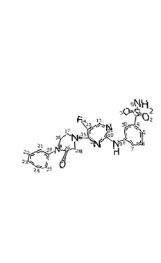 NS(=O)(=O)c1cccc(Nc2ncc(F)c(N3CCN(c4ccccc4)C(=O)C3)n2)c1